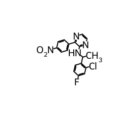 CC(Nc1nccnc1-c1ccc([N+](=O)[O-])cc1)c1ccc(F)cc1Cl